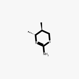 C[C@H]1CSC(N)=N[C@@H]1C